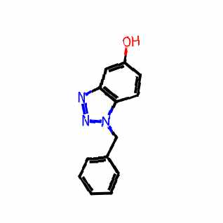 Oc1ccc2c(c1)nnn2Cc1ccccc1